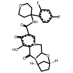 O=C(NC1(c2ccc(F)cc2F)CCOCC1)c1cn2c(c(O)c1=O)C(=O)N1C(C2)O[C@H]2CC[C@@H]1C2